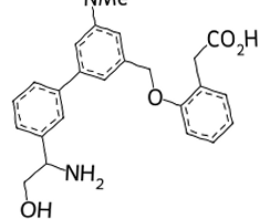 CNc1cc(COc2ccccc2CC(=O)O)cc(-c2cccc(C(N)CO)c2)c1